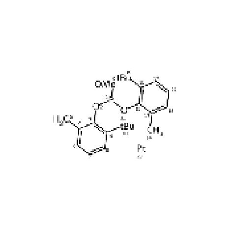 COP(Oc1c(C)cccc1C(C)(C)C)Oc1c(C)cccc1C(C)(C)C.[Pt]